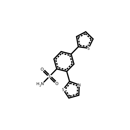 NS(=O)(=O)c1ccc(-c2cccs2)cc1-c1nccs1